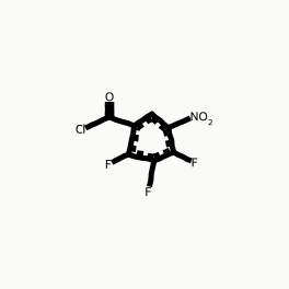 O=C(Cl)c1cc([N+](=O)[O-])c(F)c(F)c1F